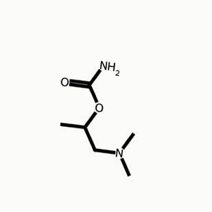 CC(CN(C)C)OC(N)=O